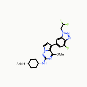 COc1nc(N[C@H]2CC[C@@H](NC(C)=O)CC2)nn2ccc(-c3cc(F)c4nnn(CC(F)F)c4c3)c12